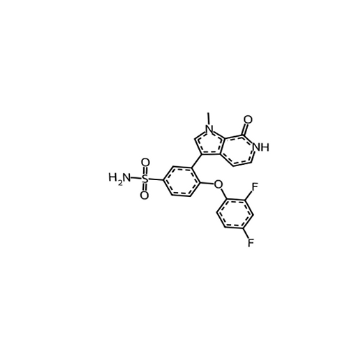 Cn1cc(-c2cc(S(N)(=O)=O)ccc2Oc2ccc(F)cc2F)c2cc[nH]c(=O)c21